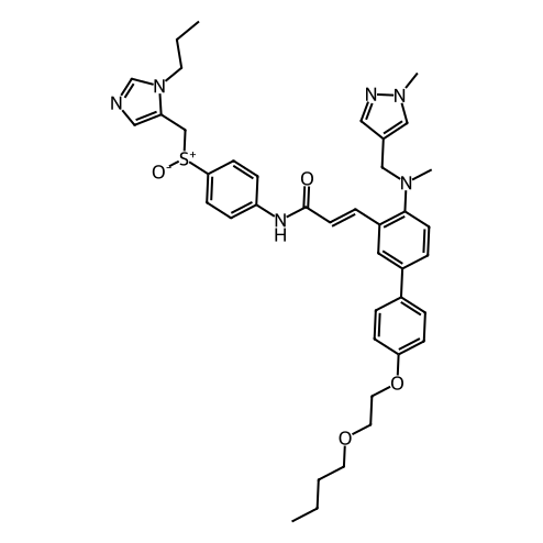 CCCCOCCOc1ccc(-c2ccc(N(C)Cc3cnn(C)c3)c(C=CC(=O)Nc3ccc([S+]([O-])Cc4cncn4CCC)cc3)c2)cc1